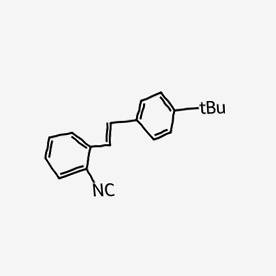 [C-]#[N+]c1ccccc1C=Cc1ccc(C(C)(C)C)cc1